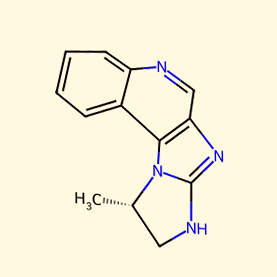 C[C@H]1CNc2nc3cnc4ccccc4c3n21